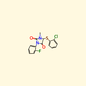 CN1C(=O)N(c2ccccc2F)C(=O)C1Sc1ccccc1Cl